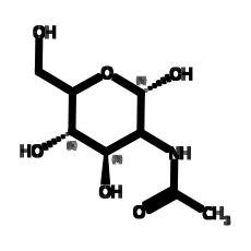 CC(=O)NC1[C@@H](O)[C@H](O)C(CO)O[C@@H]1O